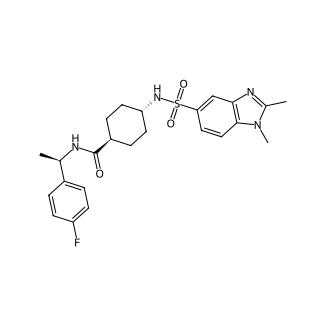 Cc1nc2cc(S(=O)(=O)N[C@H]3CC[C@H](C(=O)N[C@H](C)c4ccc(F)cc4)CC3)ccc2n1C